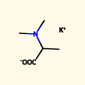 CC(C(=O)[O-])N(C)C.[K+]